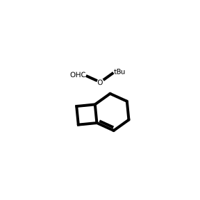 C1=C2CCC2CCC1.CC(C)(C)OC=O